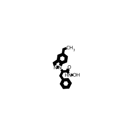 CCc1ccc2c(cnn2C(Cc2ccccc2)C(=O)NO)c1